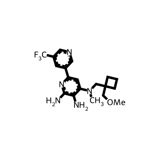 COCC1(CN(C)c2cc(-c3cncc(C(F)(F)F)c3)nc(N)c2N)CCC1